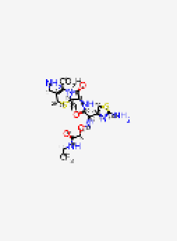 NCC1=C(C(=O)O)N2C(=O)C(NC(=O)/C(=N\OCC(=O)NCC(F)(F)F)c3csc(N)n3)[C@@H]2SC1